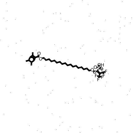 CC1C(C)C2CC1C(C)C2C(=O)OCCCCCCCCCCCCCCCCCCOOC(=C(C(F)(F)F)C(F)(F)F)S(=O)(=O)O